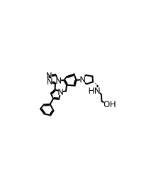 OCCNC[C@H]1CCN(c2ccc3c(c2)Cn2cc(-c4ccccc4)cc2-c2nncn2-3)C1